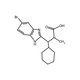 CN(C(=O)O)C(c1nc2cc(Br)ccc2[nH]1)C1CCCCC1